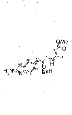 COC(=O)C=C(C)NCC(=O)Oc1ccc2nc(N)sc2c1.[NaH]